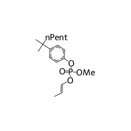 CC=COP(=O)(OC)Oc1ccc(C(C)(C)CCCCC)cc1